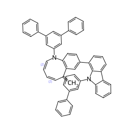 C=C1/C=C\C=C/N(c2cc(-c3ccccc3)cc(-c3ccccc3)c2)c2ccc(-c3cccc4c5ccccc5n(-c5cccc(-c6ccccc6)c5)c34)cc21